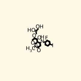 Cn1c(=O)cc(Nc2ccc(I)cc2F)c2c(=O)c(OC[C@H](O)CO)coc21